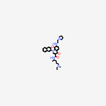 CCN(C)CCCC(C)NC(=O)c1cn2c3c(c(NCCN4CCCC4)ccc3c1=O)Oc1cc3ccccc3cc1-2